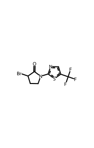 O=C1C(Br)CCN1c1ncc(C(F)(F)F)s1